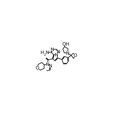 C=C(c1cc(-c2cccc(C3(N4CCC(O)C4)COC3)c2)n2ncnc(N)c12)N(/N=C\C)C1CCOCC1